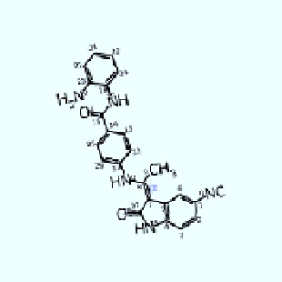 [C-]#[N+]c1ccc2c(c1)/C(=C(\C)Nc1ccc(C(=O)Nc3ccccc3N)cc1)C(=O)N2